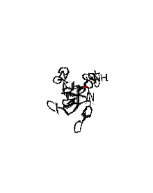 CCOc1cc(Cl)c(S(=O)(=O)NC(C)(C)C)cc1C1=N[C@@](C)(c2ccc(Cl)cc2)[C@@](C)(c2ccc(Cl)cc2)N1C(=O)N1CCN(CC(=O)N2CCCC2)CC1